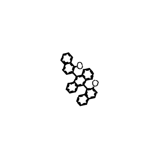 c1ccc2c3c(ccc2c1)-c1c2ccccc2c2c4c(ccc(c14)O3)Oc1ccc3ccccc3c1-2